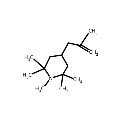 C=C(C)CC1CC(C)(C)N(C)C(C)(C)C1